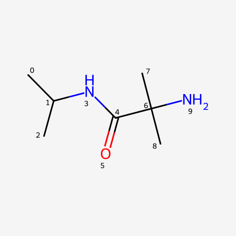 CC(C)NC(=O)C(C)(C)N